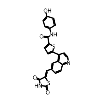 O=C1NC(=O)/C(=C/c2ccc3nccc(-c4ccc(C(=O)Nc5ccc(O)cc5)s4)c3c2)S1